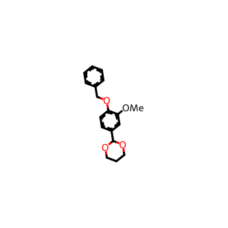 COc1cc(C2OCCCO2)ccc1OCc1ccccc1